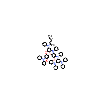 C=C/C=C\C=C(/C)N(c1ccccc1)c1cc2c3c(c1)N(c1ccccc1)c1cc4c(cc1B3c1cc3c(cc1O2)N(c1ccccc1)c1ccccc1O3)B1c2ccccc2N(c2ccccc2)c2cc(N(c3ccccc3)c3ccccc3)cc(c21)N4c1ccccc1